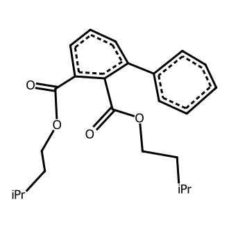 CC(C)CCOC(=O)c1cccc(-c2ccccc2)c1C(=O)OCCC(C)C